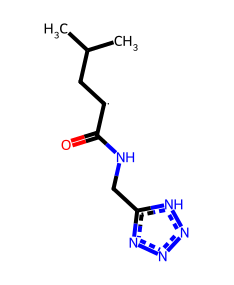 CC(C)C[CH]C(=O)NCc1nnn[nH]1